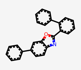 c1ccc(-c2ccc3nc(-c4ccccc4-c4ccccc4)oc3c2)cc1